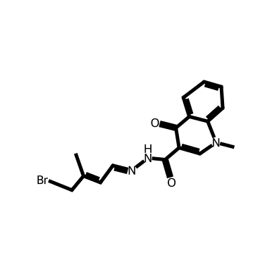 C/C(=C\C=N\NC(=O)c1cn(C)c2ccccc2c1=O)CBr